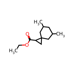 CCOC(=O)C1CC12CC(C)CC(C)C2